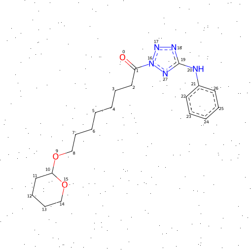 O=C(CCCCCCCOC1CCCCO1)n1nnc(Nc2ccccc2)n1